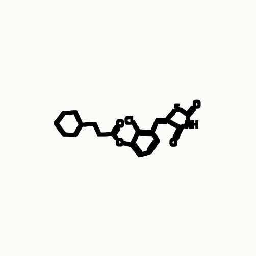 O=C(CCC1CCCCC1)Oc1cccc(C=C2SC(=O)NC2=O)c1Cl